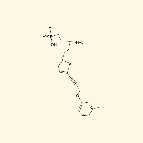 Cc1cccc(OCC#Cc2ccc(CCC(C)(N)CCP(=O)(O)O)s2)c1